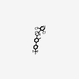 Cc1cc(-c2ccc(C(F)(F)F)cc2)ccc1C1COC(c2c(Cl)cncc2Cl)=N1